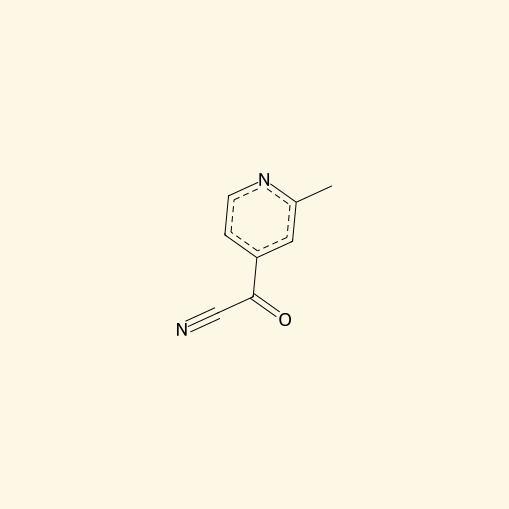 Cc1cc(C(=O)C#N)ccn1